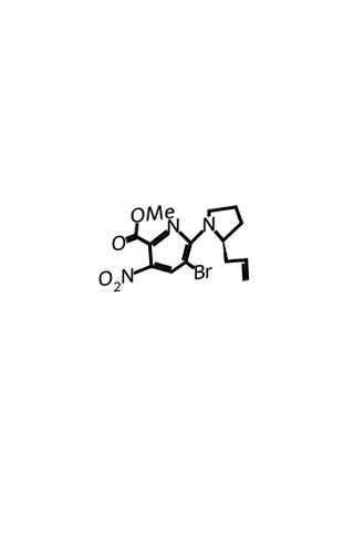 C=CC[C@@H]1CCCN1c1nc(C(=O)OC)c([N+](=O)[O-])cc1Br